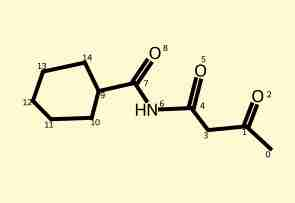 CC(=O)CC(=O)NC(=O)C1CCCCC1